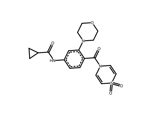 O=C(Nc1ccc(C(=O)N2C=CS(=O)(=O)C=C2)c(N2CCOCC2)c1)C1CC1